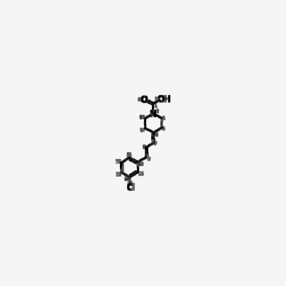 O=C(O)N1CCC(=CC=Cc2cccc(Cl)c2)CC1